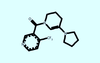 O=C(c1cnccc1C(F)(F)F)N1C=C(N2CCCC2)CCC1